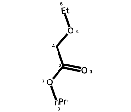 CC[CH]OC(=O)COCC